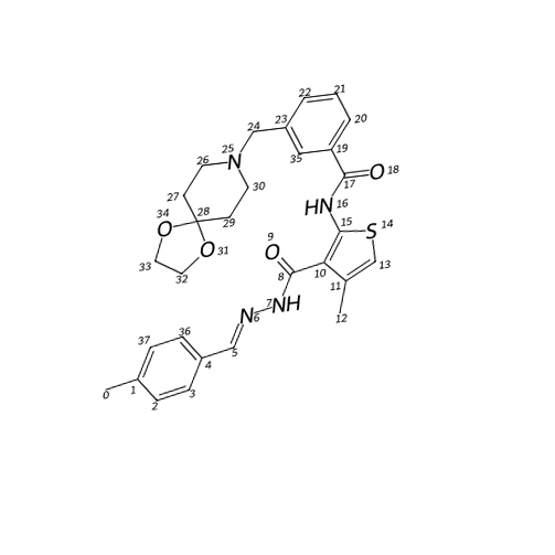 Cc1ccc(/C=N/NC(=O)c2c(C)csc2NC(=O)c2cccc(CN3CCC4(CC3)OCCO4)c2)cc1